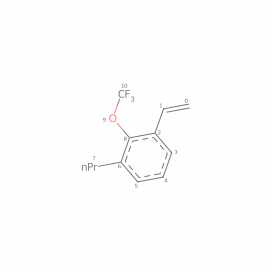 C=Cc1cccc(CCC)c1OC(F)(F)F